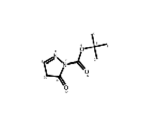 CC(C)(C)OC(=O)N1N=CCC1=O